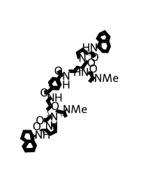 CN[C@@H](C)C(=O)N[C@@H](CCCNC(=O)c1ccc(C(=O)NCCC[C@H](NC(=O)[C@H](C)NC)C(=O)N2CCC[C@H]2C(=O)N[C@@H]2CCCc3ccccc32)cc1)C(=O)N1CCC[C@H]1C(=O)N[C@@H]1CCCc2ccccc21